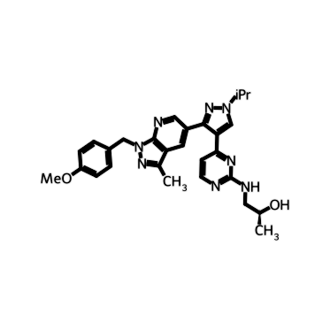 COc1ccc(Cn2nc(C)c3cc(-c4nn(C(C)C)cc4-c4ccnc(NC[C@H](C)O)n4)cnc32)cc1